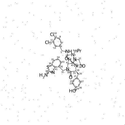 CCCN(C(=O)NCc1ccc(Cl)c(Cl)c1)N1CC(=O)N2[C@@H](Cc3ccc(O)cc3)C(=O)N(Cc3cccc4sc(N)nc34)C[C@@H]21